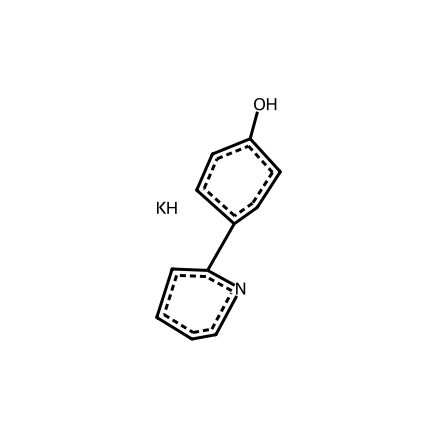 Oc1ccc(-c2ccccn2)cc1.[KH]